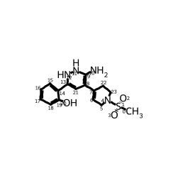 CS(=O)(=O)N1CC=C(C2=C(N)NNC(c3ccccc3O)=C2)CC1